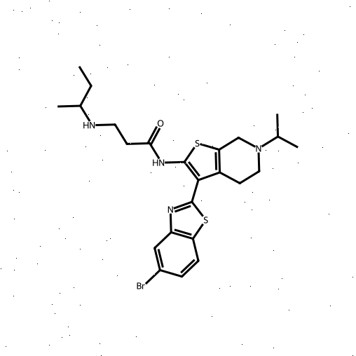 CCC(C)NCCC(=O)Nc1sc2c(c1-c1nc3cc(Br)ccc3s1)CCN(C(C)C)C2